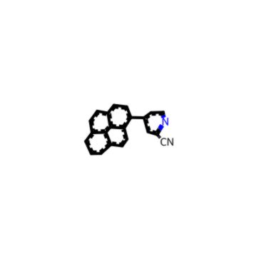 N#Cc1cc(-c2ccc3ccc4cccc5ccc2c3c45)ccn1